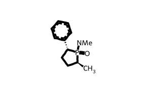 CNP1(=O)[C@@H](c2ccccc2)CC[C@@H]1C